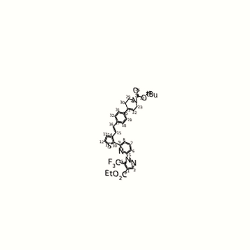 CCOC(=O)c1cnn(-c2cccc(-c3sccc3/C=C/c3ccc(C4=CCN(C(=O)OC(C)(C)C)CC4)cc3)n2)c1C(F)(F)F